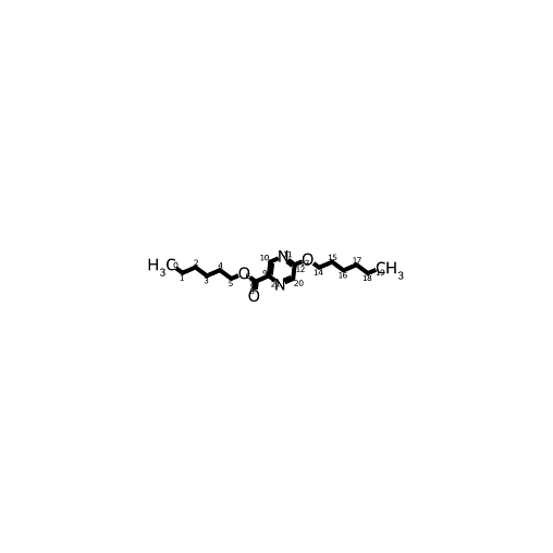 CCCCCCOC(=O)c1cnc(OCCCCCC)cn1